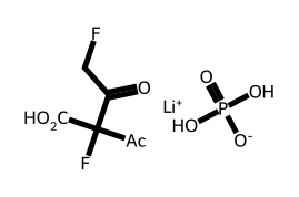 CC(=O)C(F)(C(=O)O)C(=O)CF.O=P([O-])(O)O.[Li+]